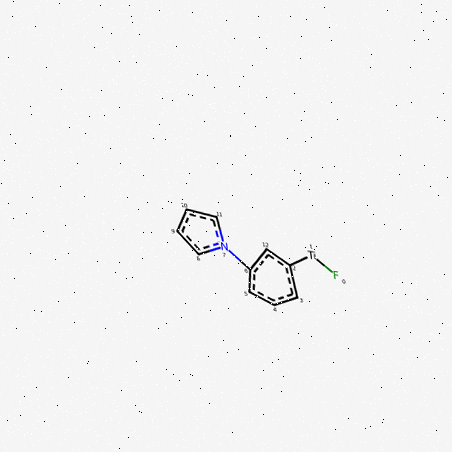 [F][Ti][c]1cccc(-n2cccc2)c1